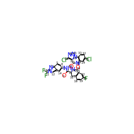 O=C(Nc1ccc2nn(C(F)F)cc2c1)C(Cc1ccc(F)cc1)N1CON(c2cc(Cl)ccc2-n2cc(Cl)nn2)CO1